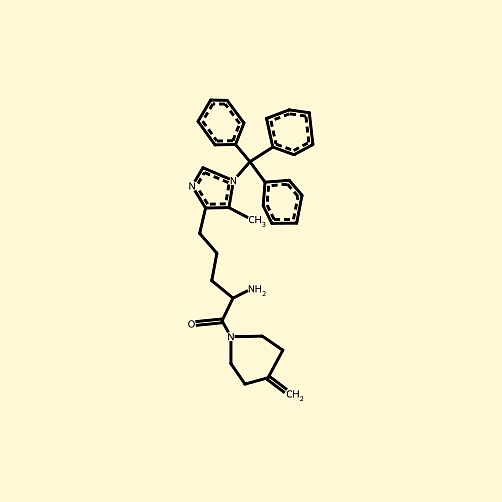 C=C1CCN(C(=O)C(N)CCCc2ncn(C(c3ccccc3)(c3ccccc3)c3ccccc3)c2C)CC1